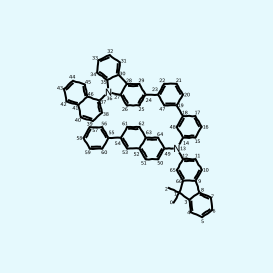 CC1(C)c2ccccc2-c2ccc(N(c3cccc(-c4cccc(-c5ccc6c(c5)c5ccccc5n6-c5cccc6ccccc56)c4)c3)c3ccc4cc(-c5ccccc5)ccc4c3)cc21